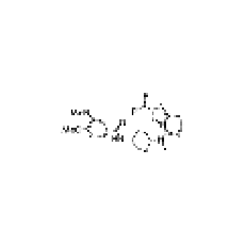 CNc1cc(C(=O)N[C@H]2CC[C@@H](N(C)c3cccc4nc(C(F)F)cn34)CC2)ccc1OC